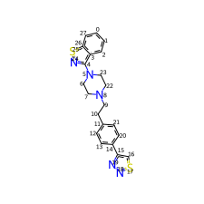 c1ccc2c(N3CCN(CCc4ccc(-c5csnn5)cc4)CC3)nsc2c1